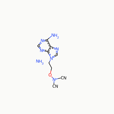 N.N#CN(C#N)OCCn1cnc2c(N)ncnc21